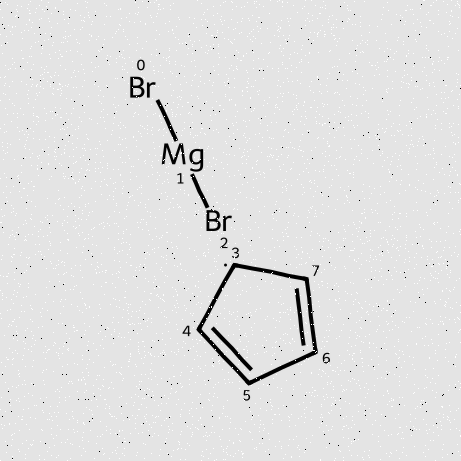 [Br][Mg][Br].[CH]1C=CC=C1